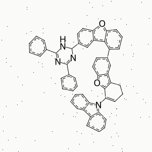 C1=C(n2c3ccccc3c3ccccc32)c2oc3ccc(-c4cccc5oc6ccc(C7N=C(c8ccccc8)N=C(c8ccccc8)N7)cc6c45)cc3c2CC1